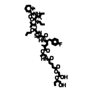 CCCO[C@H](C[C@H](C(C)C)N(CCC)C(=O)[C@@H](NC(=O)[C@H]1CCCCN1C)[C@@H](C)CC)c1nc(C(=O)N[C@@H](Cc2ccc(F)cc2)C[C@H](C)C(=O)OC(C)CNC(=O)CCCC(=O)OCC(O)OC(CC)CO)cs1